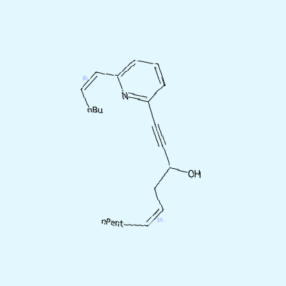 CCCC/C=C\c1cccc(C#CC(O)C/C=C\CCCCC)n1